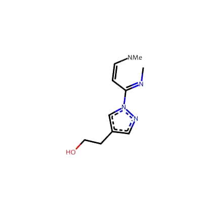 C/N=C(\C=C/NC)n1cc(CCO)cn1